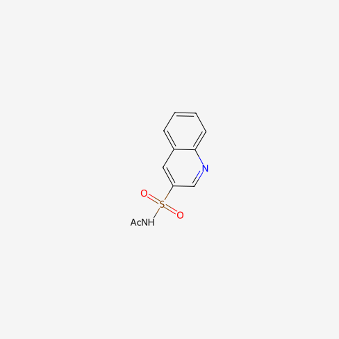 CC(=O)NS(=O)(=O)c1cnc2ccccc2c1